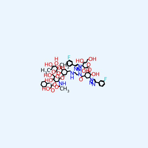 CCC1CC(CNCCNC(=O)C2CC(n3cc(-c4cccc(F)c4)nn3)C(O)[C@H](O[C@@H]3OC(CO)[C@H](O)C(n4cc(-c5cccc(F)c5)nn4)C3O)C2)C[C@@H](O[C@@H]2OC(CO)[C@H](O)C(O[C@@H](CC3CCCCC3)C(=O)O)C2NC(C)=O)C1O[C@@H]1OC(C)[C@@H](O)C(O)C1O